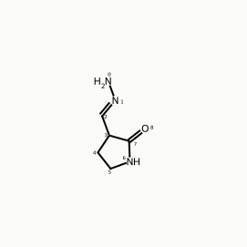 NN=CC1CCNC1=O